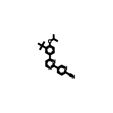 CC(C)Oc1ccc(-c2ccnc(-c3ccc(C#N)nc3)n2)cc1C(C)(C)C